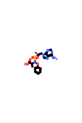 CC(C(=O)O)N(Oc1ccccc1)[PH](=O)O[C@H](C)Cn1cnc2c(N)ncnc21